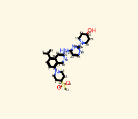 CC(C)c1ccc(N2CCC(S(C)(=O)=O)CC2)c2cnc(Nc3ccnc(N4CCC(O)CC4)n3)cc12